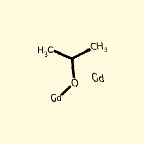 CC(C)[O][Gd].[Gd]